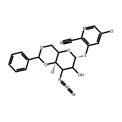 N#Cc1ncc(Cl)cc1S[C@H]1OC2COC(c3ccccc3)O[C@@H]2C(N=[N+]=[N-])C1O